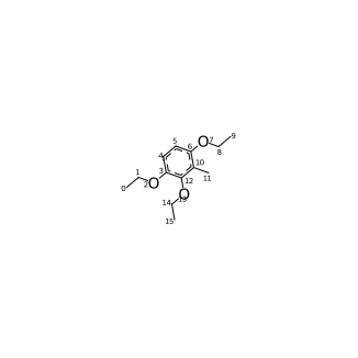 CCOc1[c]cc(OCC)c(C)c1OCC